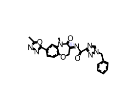 Cc1nnc(-c2ccc3c(c2)N(C)C(=O)/C(=N/C(=O)c2ncn(Cc4ccccc4)n2)CO3)o1